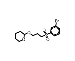 O=S(=O)(CCCOC1CCCCO1)c1cccc(Br)c1